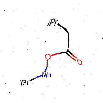 CC(C)CC(=O)ONC(C)C